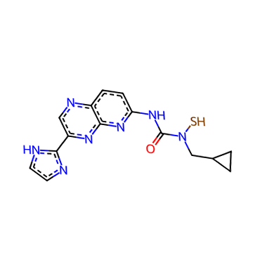 O=C(Nc1ccc2ncc(-c3ncc[nH]3)nc2n1)N(S)CC1CC1